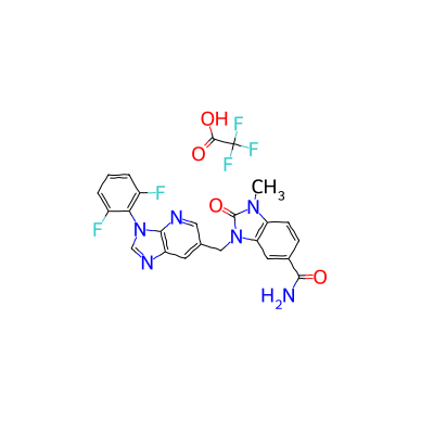 Cn1c(=O)n(Cc2cnc3c(c2)ncn3-c2c(F)cccc2F)c2cc(C(N)=O)ccc21.O=C(O)C(F)(F)F